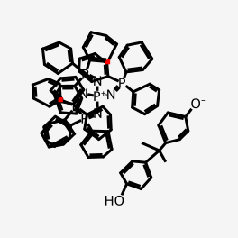 CC(C)(c1ccc([O-])cc1)c1ccc(O)cc1.c1ccc(P(=N[P+](N=P(c2ccccc2)(c2ccccc2)c2ccccc2)(N=P(c2ccccc2)(c2ccccc2)c2ccccc2)N=P(c2ccccc2)(c2ccccc2)c2ccccc2)(c2ccccc2)c2ccccc2)cc1